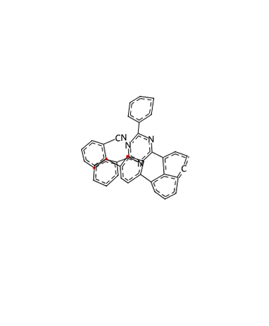 N#Cc1ccccc1-c1ccc(-c2cccc3cccc(-c4nc(-c5ccccc5)nc(-c5ccccc5)n4)c23)cc1